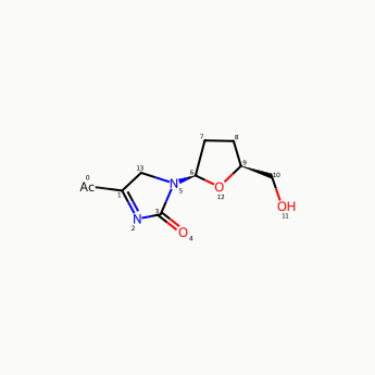 CC(=O)C1=NC(=O)N([C@H]2CC[C@@H](CO)O2)C1